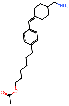 CC(=O)OCCCCCCc1ccc(C=C2CCC(CN)CC2)cc1